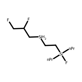 CCC[Si](F)(CCC)CC[SiH2]CC(F)CF